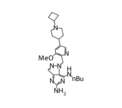 CCCCNc1nc(N)nc2cnn(Cc3ncc(C4CCN(C5CCC5)CC4)cc3OC)c12